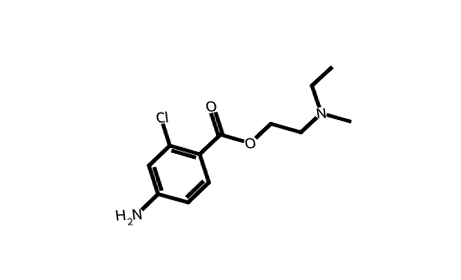 CCN(C)CCOC(=O)c1ccc(N)cc1Cl